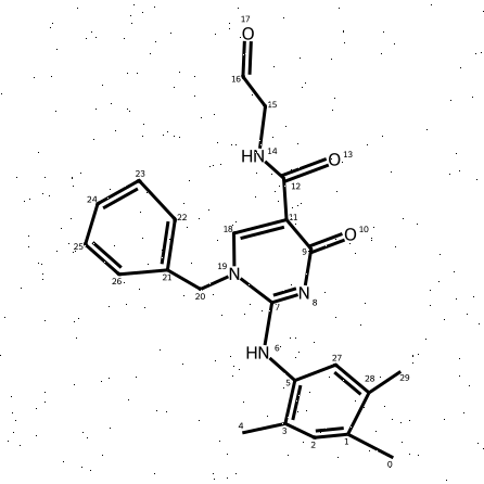 Cc1cc(C)c(Nc2nc(=O)c(C(=O)NCC=O)cn2Cc2ccccc2)cc1C